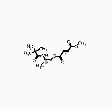 COC(=O)/C=C/C(=O)OC[C@H](C)NC(=O)C(C)(C)C